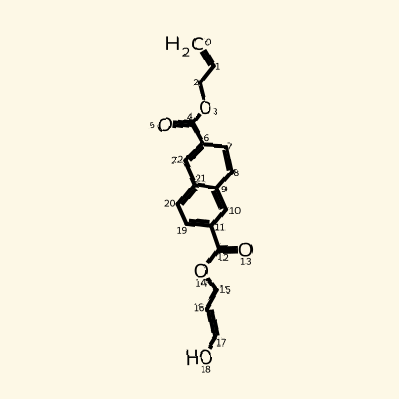 C=CCOC(=O)c1ccc2cc(C(=O)OCC=CO)ccc2c1